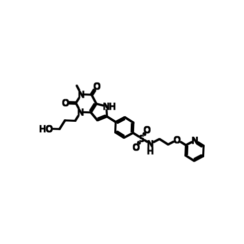 Cn1c(=O)c2[nH]c(-c3ccc(S(=O)(=O)NCCOc4ccccn4)cc3)cc2n(CCCO)c1=O